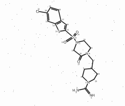 N=C(N)N1CCC(CN2CCN(S(=O)(=O)c3cc4ccc(Cl)cc4s3)CC2=O)CC1